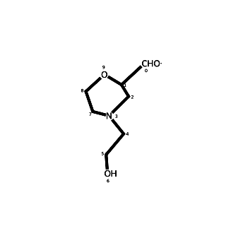 O=[C]C1CN(CCO)CCO1